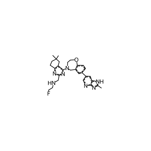 Cc1nc2ncc(-c3ccc4c(c3)CN(c3nc(CNCCF)nc5c3CC(C)(C)CC5)CCO4)cc2[nH]1